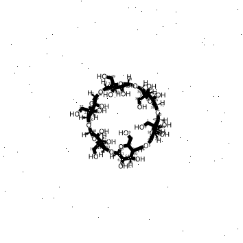 OCC1OC2O[C@@H]3C(CO)O[C@H](O[C@@H]4C(CO)O[C@H](O[C@@H]5C(CO)O[C@H](O[C@@H]6C(CO)O[C@H](O[C@@H]7C(CO)O[C@H](O[C@H]1[C@H](O)[C@@H]2O)C(O)[C@H]7O)C(O)[C@H]6O)C(O)[C@H]5O)C(O)[C@H]4O)C(O)[C@H]3O